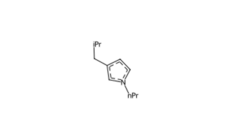 CCCn1ccc(CC(C)C)c1